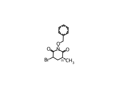 C[C@H]1CC(Br)C(=O)N(OCc2ccccc2)C1=O